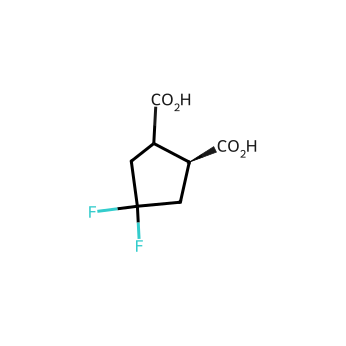 O=C(O)C1CC(F)(F)C[C@@H]1C(=O)O